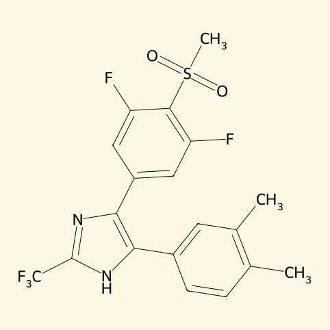 Cc1ccc(-c2[nH]c(C(F)(F)F)nc2-c2cc(F)c(S(C)(=O)=O)c(F)c2)cc1C